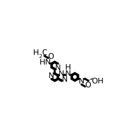 C=CC(=O)Nc1ccnc(-c2nccc3cnc(Nc4ccc(N5CCO[C@@H](CO)C5)cc4)nc23)c1